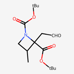 CC1CN(C(=O)OC(C)(C)C)C1(CC=O)C(=O)OC(C)(C)C